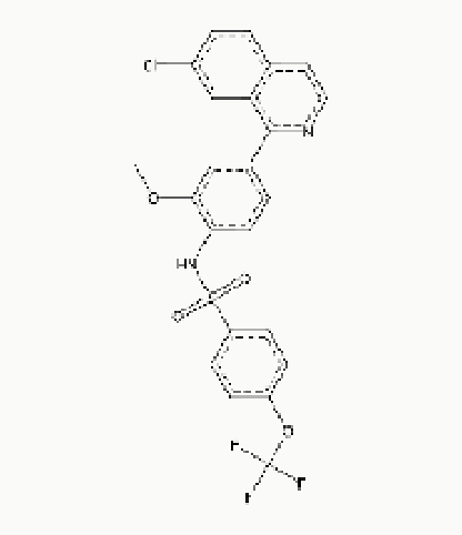 COc1cc(-c2nccc3ccc(Cl)cc23)ccc1NS(=O)(=O)c1ccc(OC(F)(F)F)cc1